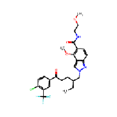 CCC(CCC(=O)c1ccc(Cl)c(C(F)(F)F)c1)Cn1cc2c(OC)c(C(=O)NCCOC)ccc2n1